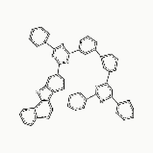 c1ccc(-c2cc(-c3cccc(-c4cccc(-c5nc(-c6ccccc6)nc(-c6ccc7c(c6)sc6c8ccccc8ccc76)n5)c4)c3)nc(-c3ccccc3)n2)cc1